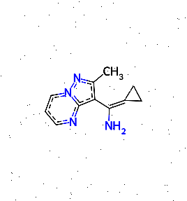 Cc1nn2cccnc2c1C(N)=C1CC1